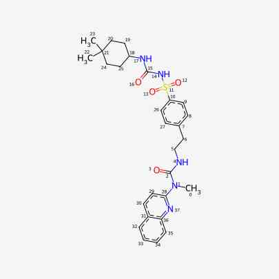 CN(C(=O)NCCc1ccc(S(=O)(=O)NC(=O)NC2CCC(C)(C)CC2)cc1)c1ccc2ccccc2n1